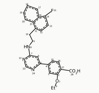 CCOc1cc(-c2cc(NCCc3ccc(F)c4ccccc34)ncn2)ccc1C(=O)O